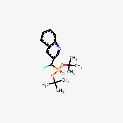 CC(C)(C)OP(=O)(OC(C)(C)C)C(F)c1cnc2ccccc2c1